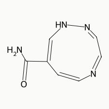 NC(=O)c1ccnccn[nH]c1